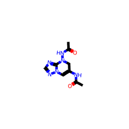 CC(=O)NC1=Cn2n[c]nc2N(NC(C)=O)C1